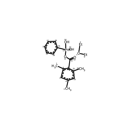 CCOCC.Cc1cc(C)c(C(=O)O[PH](O)(O)c2ccccc2)c(C)c1